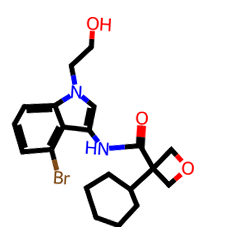 O=C(Nc1cn(CCO)c2cccc(Br)c12)C1(C2CCCCC2)COC1